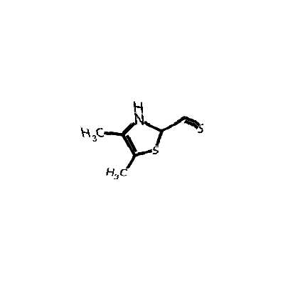 CC1=C(C)SC(C=S)N1